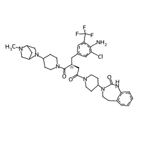 CN1CC2CC1CN2C1CCN(C(=O)[C@H](CC(=O)N2CCC(N3CCc4ccccc4NC3=O)CC2)Cc2cc(Cl)c(N)c(C(F)(F)F)c2)CC1